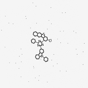 Clc1cc(-c2nc(-c3ccccc3)nc(-c3ccc4c(c3)c3ccccc3n4-c3ccccc3)n2)c2c(c1)sc1cc3ccccc3cc12